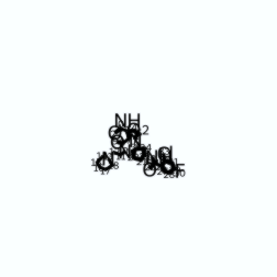 NC(=O)c1ocnc1C(=O)N(CCN1CCCCC1)c1ccc(NC(=O)c2ccc(F)cc2Cl)cc1